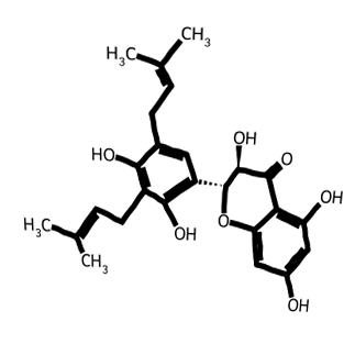 CC(C)=CCc1cc([C@H]2Oc3cc(O)cc(O)c3C(=O)[C@@H]2O)c(O)c(CC=C(C)C)c1O